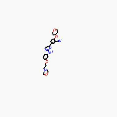 N#Cc1cc(-c2ccnc(Nc3cccc(OCCCN4CCOCC4)c3)n2)ccc1OC1CCOCC1